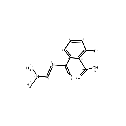 CN(C)/C=N/C(=O)c1cccc(F)c1C(=O)O